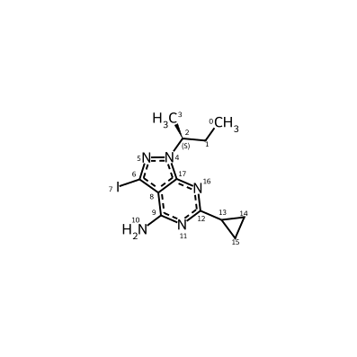 CC[C@H](C)n1nc(I)c2c(N)nc(C3CC3)nc21